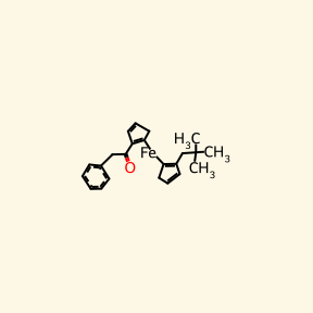 CC(C)(C)CC1=[C]([Fe][C]2=C(C(=O)Cc3ccccc3)C=CC2)CC=C1